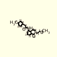 COCCn1ccc2c(NC(=O)Cc3ccc(C)cc3)cccc2c1=O